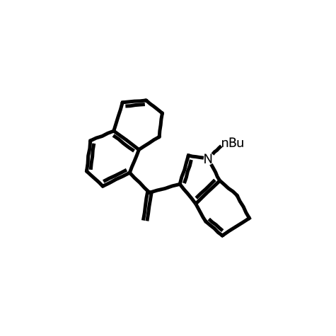 C=C(c1cn(CCCC)c2c1C=CCC2)c1cccc2c1CCC=C2